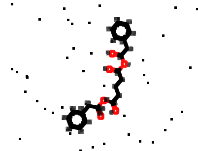 O=C(CCCC(=O)OC(=O)Cc1ccccc1)OC(=O)Cc1ccccc1